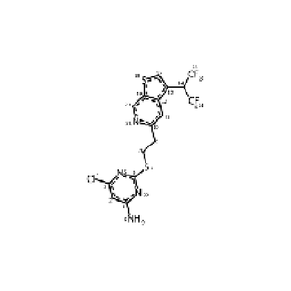 Nc1cc(Cl)nc(SCCc2cc3c(C(C(F)(F)F)C(F)(F)F)csc3cn2)n1